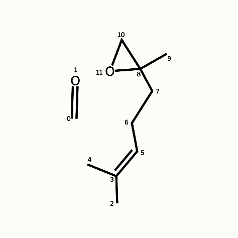 C=O.CC(C)=CCCC1(C)CO1